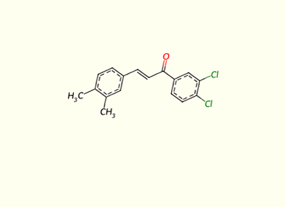 Cc1ccc(C=CC(=O)c2ccc(Cl)c(Cl)c2)cc1C